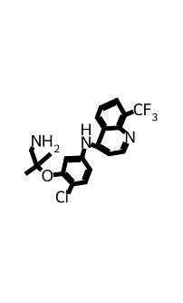 CC(C)(CN)Oc1cc(Nc2ccnc3c(C(F)(F)F)cccc23)ccc1Cl